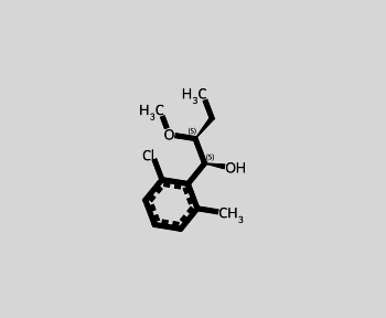 CC[C@H](OC)[C@@H](O)c1c(C)cccc1Cl